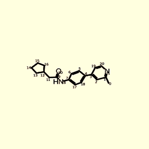 Cc1cc(-c2ccc(NC(=O)CC3CCCC3)cc2)ccn1